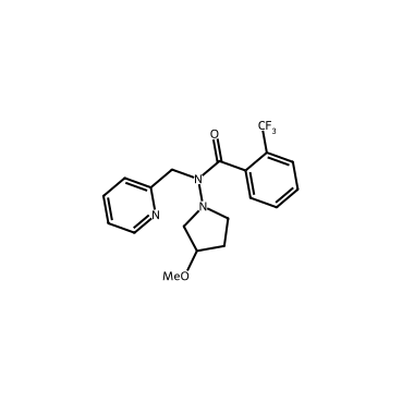 COC1CCN(N(Cc2ccccn2)C(=O)c2ccccc2C(F)(F)F)C1